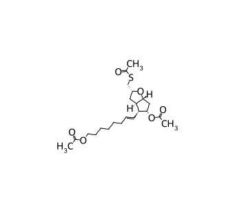 CC(=O)OCCCCCCC=C[C@H]1[C@H]2C[C@H](CSC(C)=O)O[C@@H]2C[C@@H]1OC(C)=O